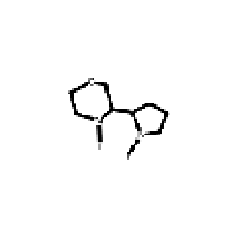 IN1CCCC1C1COCCN1I